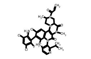 C=CC(=O)N1CC2C(=O)N(C)c3c(c4cc(Cl)c(-c5c(N)c(Cl)cc(Cl)c5F)c(F)c4n(-c4c(C)ccnc4C(C)C)c3=O)N2CC1C